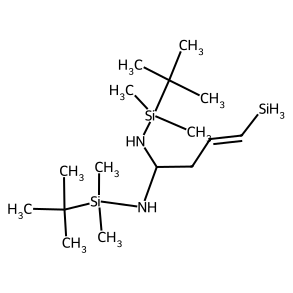 CC(C)(C)[Si](C)(C)NC(CC=C[SiH3])N[Si](C)(C)C(C)(C)C